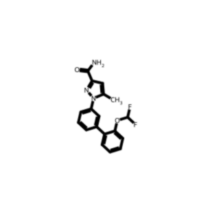 Cc1cc(C(N)=O)nn1-c1cccc(-c2ccccc2OC(F)F)c1